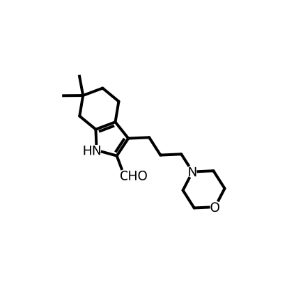 CC1(C)CCc2c([nH]c(C=O)c2CCCN2CCOCC2)C1